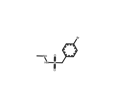 CNNS(=O)(=O)Cc1ccc(Br)cc1